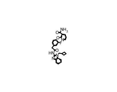 NC(=O)c1cccnc1Oc1ccc(CC(=O)Nc2nc3ccccc3n2CC2CCC2)cc1F